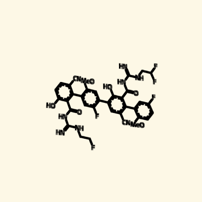 COc1cc(-c2cc(C#N)c(-c3cc(F)ccc3OC)c(C(=O)NC(=N)NCC(F)F)c2O)c(F)cc1-c1c(C#N)ccc(O)c1C(=O)NC(=N)NCCF